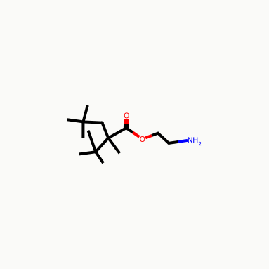 CC(C)(C)CC(C)(C(=O)OCCN)C(C)(C)C